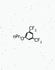 [CH2]CCOc1cc(C(F)(F)F)cc(C(F)(F)F)c1